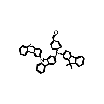 CC1(C)c2ccccc2-c2ccc(N(c3ccc(C=O)cc3)c3ccc4c5ccccc5n(-c5ccc6sc7ccccc7c6c5)c4c3)cc21